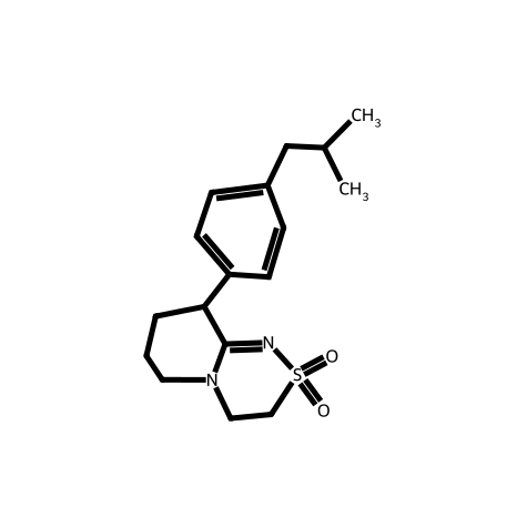 CC(C)Cc1ccc(C2CCCN3CCS(=O)(=O)N=C23)cc1